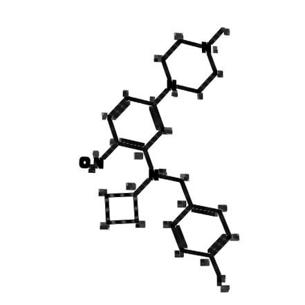 CN1CCN(c2ccc([N+](=O)[O-])c(N(Cc3ccc(F)cc3)C3CCC3)c2)CC1